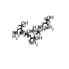 CC(C)(O)C(CN)CCN.CC(C)(O)C(CN)CCN.[CH2]CC(CN)C(C)(C)O.[CH2]CC([CH2])C(C)(C)O.[CH2]CC([CH2])C(C)(C)O